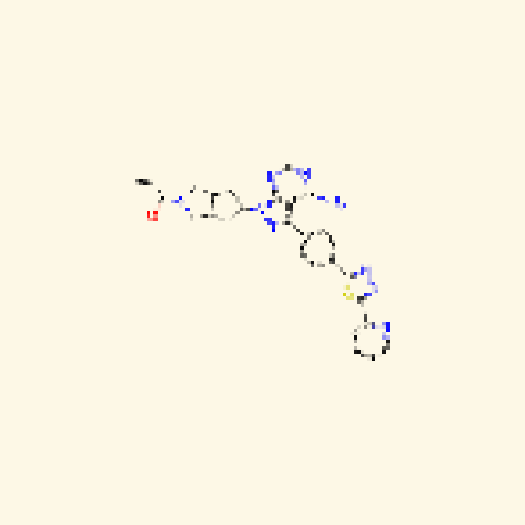 C=CC(=O)N1CC2CC(n3nc(-c4ccc(-c5nnc(-c6ccccn6)s5)cc4)c4c(N)ncnc43)CC2C1